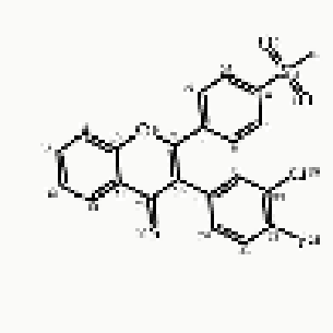 CS(=O)(=O)c1ccc(-c2oc3ccccc3c(=S)c2-c2ccc(F)c(Cl)c2)cc1